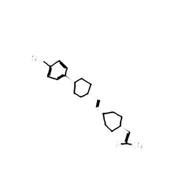 N#CC(F)=C[C@H]1CC[C@H](C=C[C@H]2CC[C@H](c3ccc(C#N)cc3)CC2)CC1